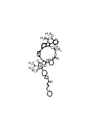 CCn1c(-c2cccnc2[C@H](C)OC)c2c3cc(ccc31)-c1csc(n1)C[C@H](NC(=O)[C@H](C(C)C)N(C)C(=O)N1CCC3(CC1)CN(C(=O)/C=C/CN1CCCCC1)C3)C(=O)N1CCC[C@H](N1)C(=O)OCC(C)(C)C2